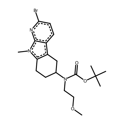 COCCN(C(=O)OC(C)(C)C)C1CCc2c(c3ccc(Br)nc3n2C)C1